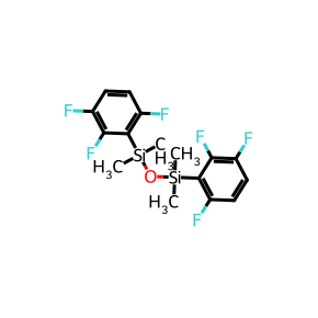 C[Si](C)(O[Si](C)(C)c1c(F)ccc(F)c1F)c1c(F)ccc(F)c1F